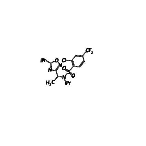 CC(C)c1nc(C(C)N(C(C)C)S(=O)(=O)c2ccc(C(F)(F)F)cc2Cl)no1